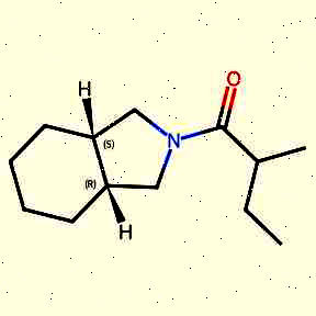 CCC(C)C(=O)N1C[C@H]2CCCC[C@H]2C1